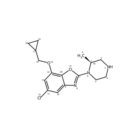 C[C@H]1CNCCN1c1nc2cc(Cl)cc(OCC3CC3)c2o1